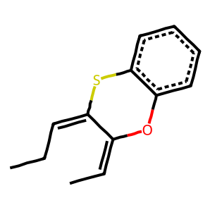 C/C=C1/Oc2ccccc2S/C1=C/CC